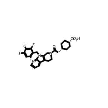 O=C(C[C@H]1CC[C@@H](C(=O)O)CC1)N1CCc2c(n(Cc3c(F)cc(F)c(F)c3F)c3ncccc23)C1